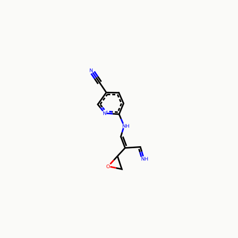 N#Cc1ccc(N/C=C(\C=N)C2CO2)nc1